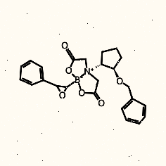 O=C1C[N+]2([C@@H]3CCC[C@H]3OCc3ccccc3)CC(=O)O[B-]2(C2OC2c2ccccc2)O1